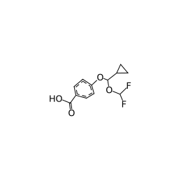 O=C(O)c1ccc(OC(OC(F)F)C2CC2)cc1